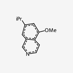 COc1cc(C(C)C)cc2cnccc12